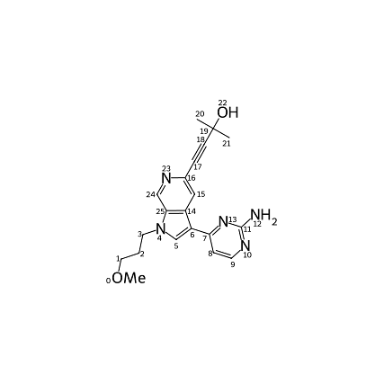 COCCCn1cc(-c2ccnc(N)n2)c2cc(C#CC(C)(C)O)ncc21